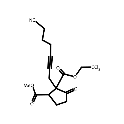 COC(=O)C1CCC(=O)C1(CC#CCCCC#N)C(=O)OCC(Cl)(Cl)Cl